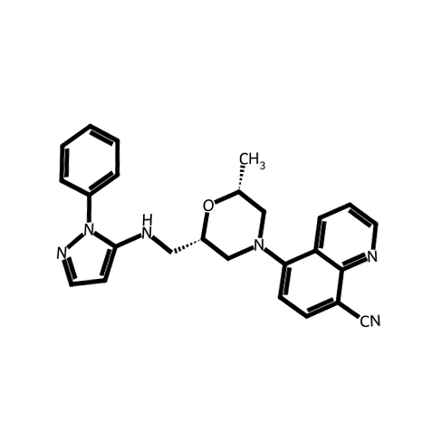 C[C@@H]1CN(c2ccc(C#N)c3ncccc23)C[C@H](CNc2ccnn2-c2ccccc2)O1